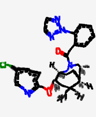 [2H]C1([2H])[C@H]2C[C@@H]([C@@H]1Oc1ccc(Cl)cn1)N(C(=O)c1ccccc1-n1nccn1)[C@@H]2C